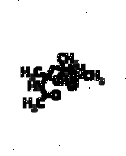 CC(=O)NC(C)(C)CC(C)(C)NC(C)=O